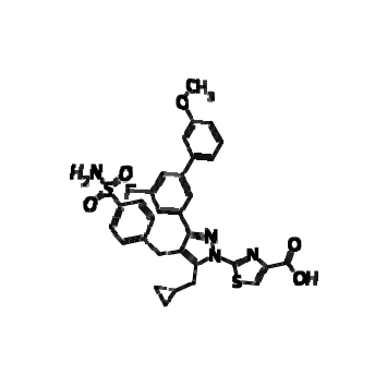 COc1cccc(-c2cc(F)cc(-c3nn(-c4nc(C(=O)O)cs4)c(CC4CC4)c3Cc3ccc(S(N)(=O)=O)cc3)c2)c1